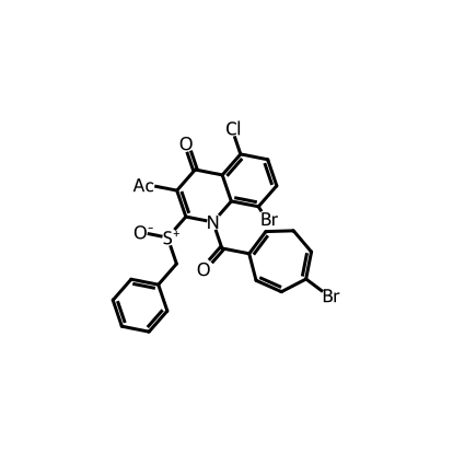 CC(=O)c1c([S+]([O-])Cc2ccccc2)n(C(=O)C2=CCC=C(Br)C=C2)c2c(Br)ccc(Cl)c2c1=O